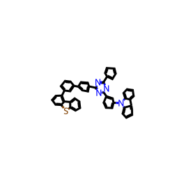 c1ccc(-c2nc(-c3ccc(-c4cccc(-c5cccc6sc7ccccc7c56)c4)cc3)nc(-c3cccc(-n4c5ccccc5c5ccccc54)c3)n2)cc1